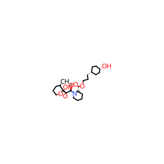 CC1CCCO[C@@]1(O)C(=O)C(=O)N1CCCC[C@H]1C(=O)OCCC[C@H]1CC[C@@H](O)CC1